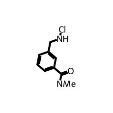 CNC(=O)c1cccc(CNCl)c1